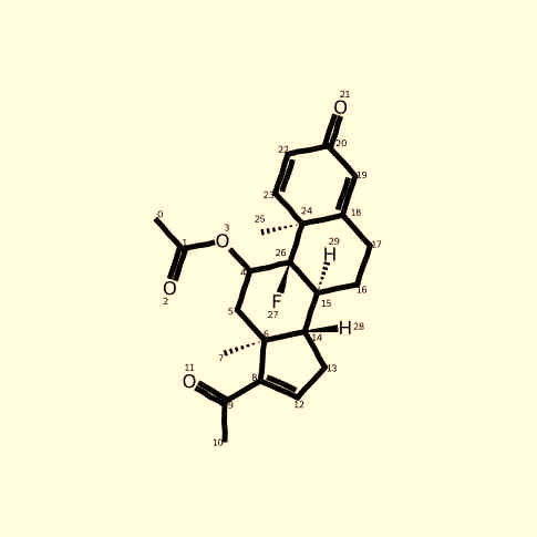 CC(=O)OC1C[C@]2(C)C(C(C)=O)=CC[C@H]2[C@@H]2CCC3=CC(=O)C=C[C@]3(C)[C@@]12F